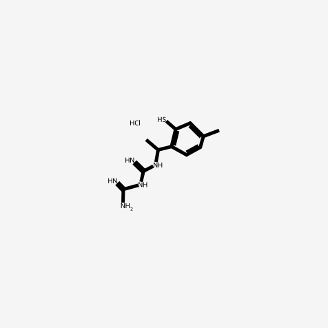 Cc1ccc(C(C)NC(=N)NC(=N)N)c(S)c1.Cl